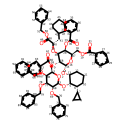 C[C@H]1O[C@@H](O[C@H]2[C@@H](C3CC3)CCC[C@H]2O[C@H]2O[C@H](COC(=O)c3ccccc3)[C@H](OC(=O)c3ccccc3)[C@H](O[C@@H](CC3CCCCC3)C(=O)OCc3ccccc3)[C@H]2OC(=O)c2ccccc2)[C@H](OCc2ccccc2)[C@@H](OCc2ccccc2)[C@H]1OCc1ccccc1